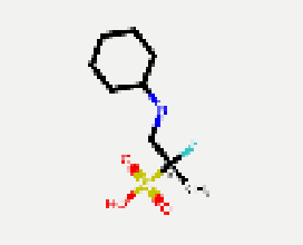 C[C@](F)(CNC1CCCCC1)S(=O)(=O)O